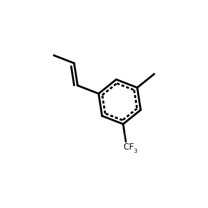 C/C=C/c1cc(C)cc(C(F)(F)F)c1